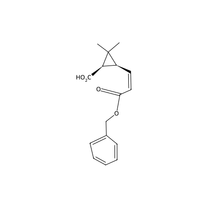 CC1(C)[C@H](C(=O)O)[C@@H]1/C=C\C(=O)OCc1ccccc1